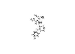 CNC(NCC1COCCN1Cc1ccc(F)cc1)C(C#N)C#N